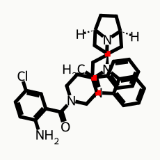 Cc1nc2ccccc2n1[C@H]1C[C@H]2CC[C@@H](C1)N2CCC1(c2ccccc2)CCN(C(=O)c2cc(Cl)ccc2N)CC1